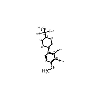 COc1ccc(C2CCC(C(C)(F)F)CC2)c(F)c1F